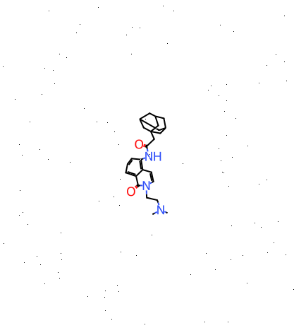 CN(C)CCn1ccc2c(NC(=O)CC34CC5CC(CC(C5)C3)C4)cccc2c1=O